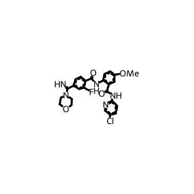 COc1ccc(NC(=O)c2ccc(C(=N)N3CCOCC3)cc2F)c(C(=O)Nc2ccc(Cl)cn2)c1